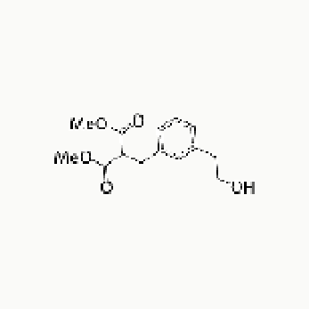 COC(=O)C(Cc1cccc(CCO)c1)C(=O)OC